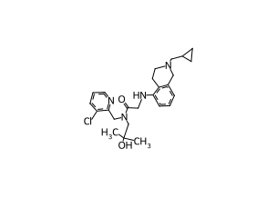 CC(C)(O)CN(Cc1ncccc1Cl)C(=O)CNc1cccc2c1CCN(CC1CC1)C2